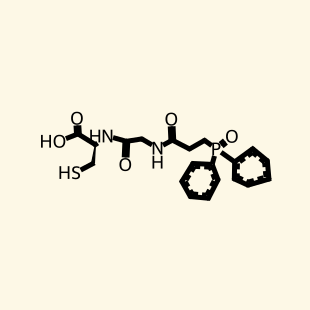 O=C(CCP(=O)(c1ccccc1)c1ccccc1)NCC(=O)N[C@@H](CS)C(=O)O